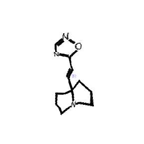 C(=C\C12CCCN1CCC2)/c1ncno1